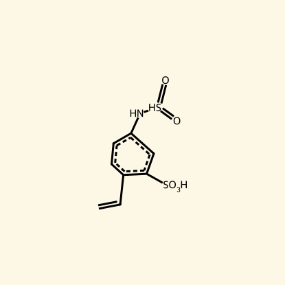 C=Cc1ccc(N[SH](=O)=O)cc1S(=O)(=O)O